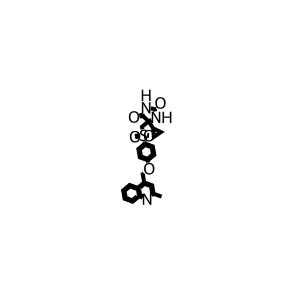 Cc1cc(COc2ccc(S(=O)(=O)CC3(C4CC4)NC(=O)NC3=O)cc2)c2ccccc2n1